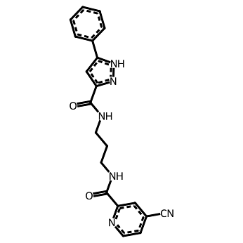 N#Cc1ccnc(C(=O)NCCCNC(=O)c2cc(-c3ccccc3)[nH]n2)c1